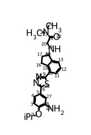 CC(C)Oc1ccc(-c2nnc(-c3cccc4c3CC[C@@H]4NCC(=O)N(C)C)s2)cc1N